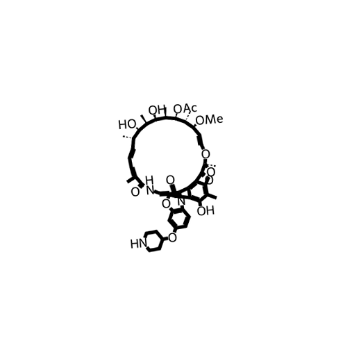 CO[C@H]1/C=C/O[C@@]2(C)Oc3c(C)c(O)c4c(=O)c(c5oc6cc(OC7CCNCC7)ccc6nc-5c4c3C2=O)NC(=O)/C(C)=C\C=C\[C@H](C)[C@H](O)[C@@H](C)[C@@H](O)[C@@H](C)[C@H](OC(C)=O)[C@@H]1C